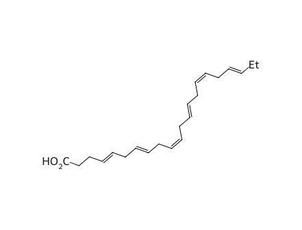 CC/C=C/C/C=C\C/C=C/C/C=C\C/C=C/C/C=C/CCC(=O)O